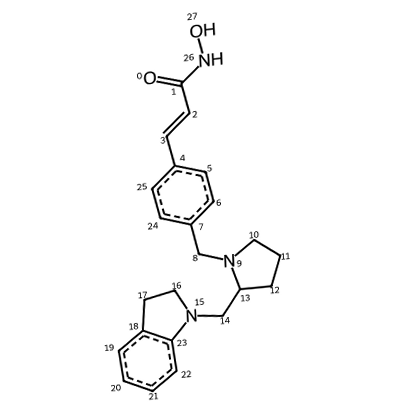 O=C(C=Cc1ccc(CN2CCCC2CN2CCc3ccccc32)cc1)NO